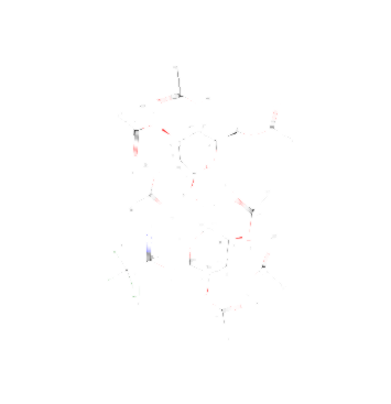 CC(=O)OC[C@H]1O[C@@H](OC[C@H]2O[C@@H](OC(=N)C(Cl)(Cl)Cl)[C@H](OC(C)=O)[C@@H](OC(C)=O)[C@@H]2OC(C)=O)[C@H](OC(C)=O)[C@@H](OC(C)=O)[C@@H]1OC(C)=O